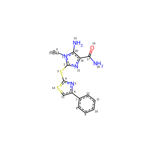 CCCCn1c(Sc2nc(-c3ccccc3)cs2)nc(C(N)=O)c1N